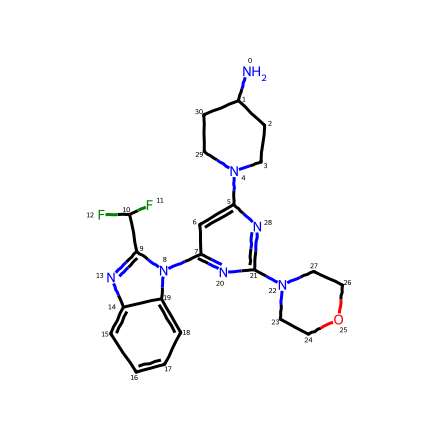 NC1CCN(c2cc(-n3c(C(F)F)nc4ccccc43)nc(N3CCOCC3)n2)CC1